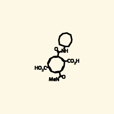 CNC(=O)C1=C/C=C(C(=O)O)\C=C/C=C(C(=O)NC2CCCCCCCCC2)\C=C(C(=O)O)/C=C\1